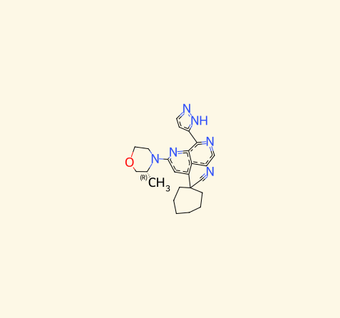 C[C@@H]1COCCN1c1cc(C2(C#N)CCCCCC2)c2ccnc(-c3ccn[nH]3)c2n1